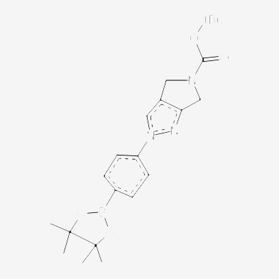 CC(C)(C)OC(=O)N1Cc2cn(-c3ccc(B4OC(C)(C)C(C)(C)O4)cc3)nc2C1